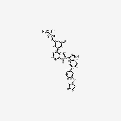 CS(=O)(=O)NCc1cc(F)cc(-c2ccnc3[nH]c(-c4n[nH]c5ncc(-c6cncc(CN7CCCC7)c6)cc45)cc23)c1